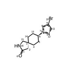 O=C1C[C@]2(CC[C@H](n3cc(Br)cn3)CC2)CN1